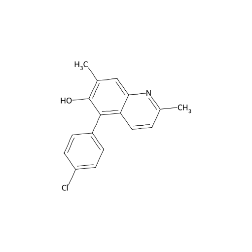 Cc1ccc2c(-c3ccc(Cl)cc3)c(O)c(C)cc2n1